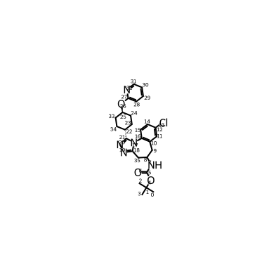 CC(C)(C)OC(=O)NC1Cc2cc(Cl)ccc2-n2c(nnc2[C@H]2CC[C@H](Oc3ccccn3)CC2)C1